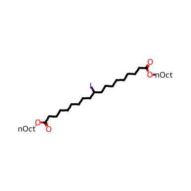 CCCCCCCCOC(=O)CCCCCCCCC(I)CCCCCCCCC(=O)OCCCCCCCC